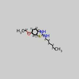 CCCCCCNC1Nc2ccc(OCC)cc2S1